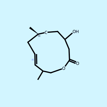 CC1/C=C/C[C@@H](C)CCC(O)CC(=O)OC1